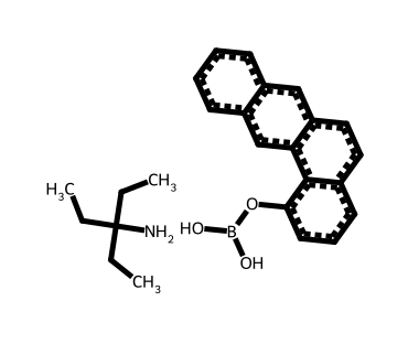 CCC(N)(CC)CC.OB(O)Oc1cccc2ccc3cc4ccccc4cc3c12